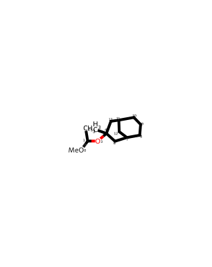 COC(C)OC1(C)CC2CCCC(C2)C1